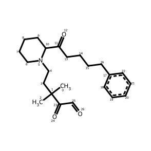 CC(C)(CCN1CCCCC1C(=O)CCCCc1ccccc1)C(=O)C=O